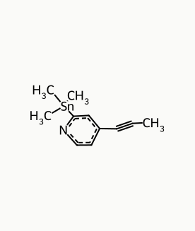 CC#Cc1ccn[c]([Sn]([CH3])([CH3])[CH3])c1